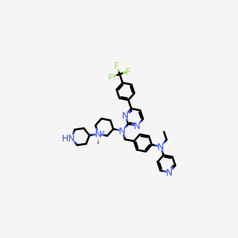 CCN(c1ccncc1)c1ccc(CN(c2nccc(-c3ccc(C(F)(F)F)cc3)n2)C2CCC[N@+](C)(C3CCNCC3)C2)cc1